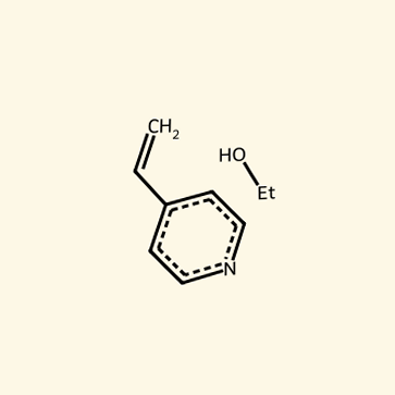 C=Cc1ccncc1.CCO